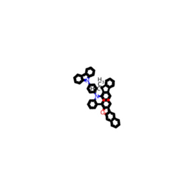 CC1(C)c2ccccc2-c2cccc(N(c3ccc(-n4c5ccccc5c5ccccc54)cc3)c3ccccc3-c3cccc4c3oc3cc5ccccc5cc34)c21